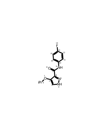 CC(C)Oc1c[nH]nc1C(=O)Nc1ccc(F)cc1